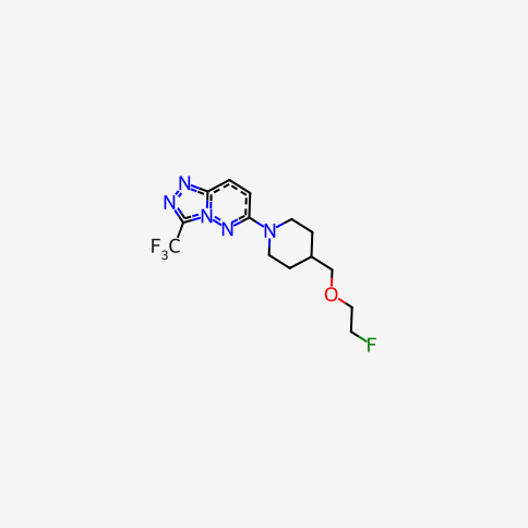 FCCOCC1CCN(c2ccc3nnc(C(F)(F)F)n3n2)CC1